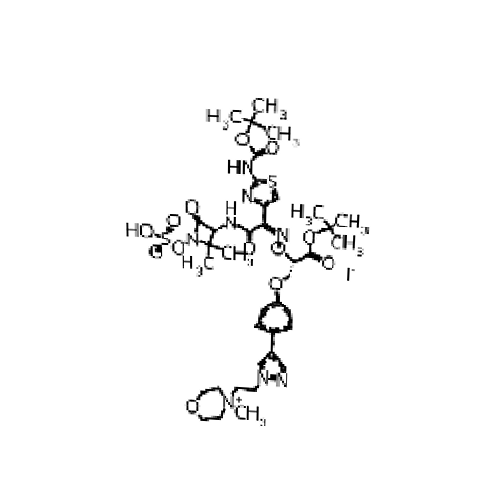 CC(C)(C)OC(=O)Nc1nc(/C(=N/O[C@@H](COc2ccc(-c3cnn(CC[N+]4(C)CCOCC4)c3)cc2)C(=O)OC(C)(C)C)C(=O)N[C@@H]2C(=O)N(OS(=O)(=O)O)C2(C)C)cs1.[I-]